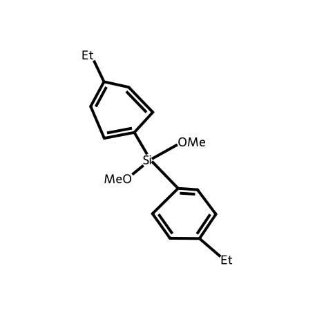 CCc1ccc([Si](OC)(OC)c2ccc(CC)cc2)cc1